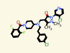 Cc1c(CN(CCc2ccc(Cl)cc2)C2CCN(C(=O)c3c(F)cccc3F)CC2)c(=O)n(-c2cnccc2Cl)n1C